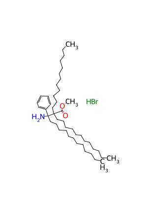 Br.CCCCCCCCCCCCC(CCCCCCCCCCCC)(C(=O)OC)C(N)(CCCCCCCCCCCC)c1ccccc1